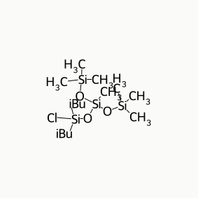 CCC(C)[Si](Cl)(O[Si](C)(O[Si](C)(C)C)O[Si](C)(C)C)C(C)CC